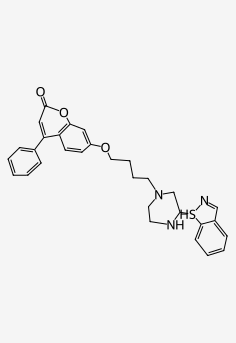 O=c1cc(-c2ccccc2)c2ccc(OCCCCN3CCNC([SH]4N=Cc5ccccc54)C3)cc2o1